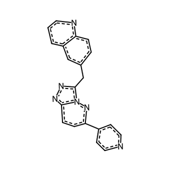 c1cnc2ccc(Cc3nnc4ccc(-c5ccncc5)nn34)cc2c1